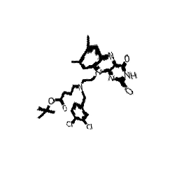 Cc1cc2nc3c(=O)[nH]c(=O)nc-3n(CCN(CCCC(=O)OC(C)(C)C)Cc3ccc(Cl)c(Cl)c3)c2cc1C